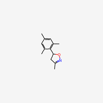 CC1=NOC(c2c(C)cc(C)cc2C)C1